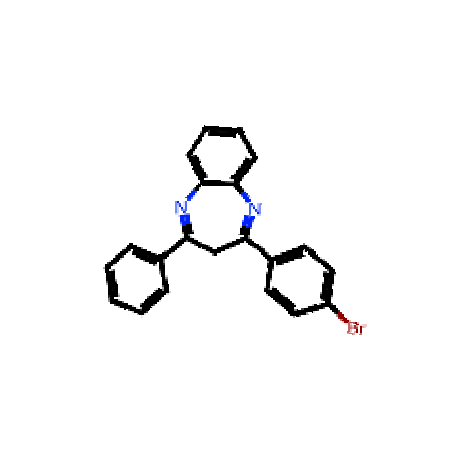 Brc1ccc(C2=Nc3ccccc3N=C(c3ccccc3)C2)cc1